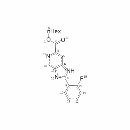 CCCCCCOC(=O)c1cc2[nH]c(-c3ccccc3F)nc2cn1